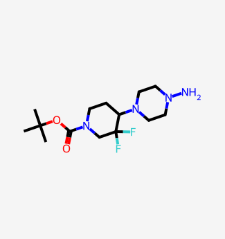 CC(C)(C)OC(=O)N1CCC(N2CCN(N)CC2)C(F)(F)C1